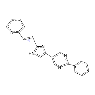 C(=C\c1nc(-c2cnc(-c3ccccc3)nc2)c[nH]1)/c1ccccn1